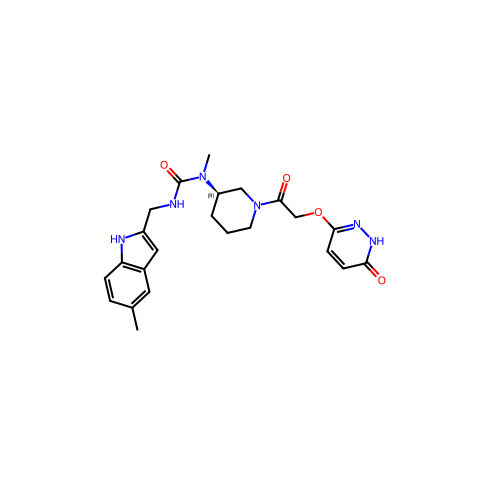 Cc1ccc2[nH]c(CNC(=O)N(C)[C@@H]3CCCN(C(=O)COc4ccc(=O)[nH]n4)C3)cc2c1